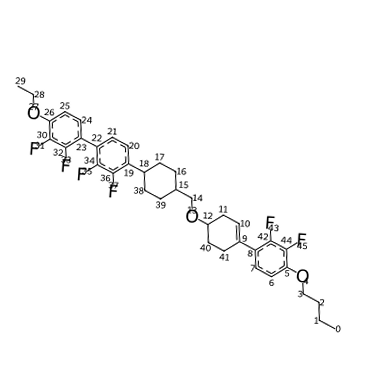 CCCCOc1ccc(C2=CCC(OCC3CCC(c4ccc(-c5ccc(OCC)c(F)c5F)c(F)c4F)CC3)CC2)c(F)c1F